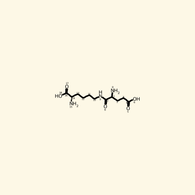 NC(CCC(=O)O)C(=O)NCCCC[C@@H](N)C(=O)O